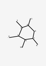 [CH2]C1C(C)C(C)CC(C)C1C